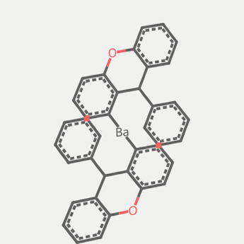 c1ccc(C2c3ccccc3Oc3ccc[c]([Ba][c]4cccc5c4C(c4ccccc4)c4ccccc4O5)c32)cc1